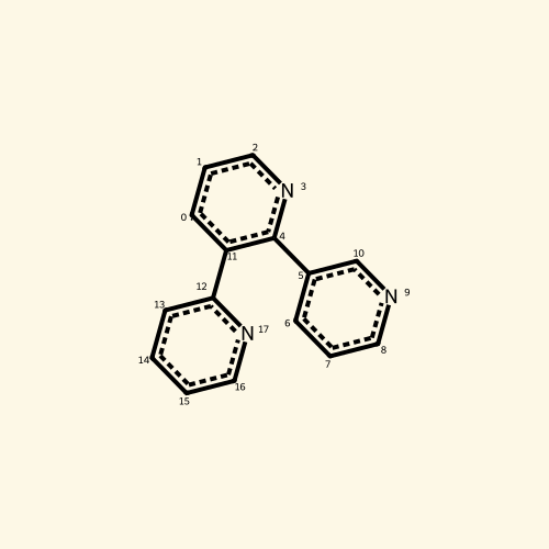 [c]1ccnc(-c2cccnc2)c1-c1ccccn1